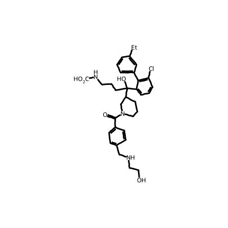 CCc1cccc(-c2c(Cl)cccc2C(O)(CCCNC(=O)O)C2CCCN(C(=O)c3ccc(CNCCO)cc3)C2)c1